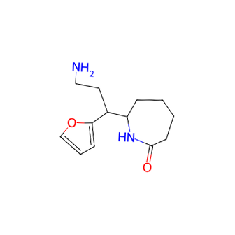 NCCC(c1ccco1)C1CCCCC(=O)N1